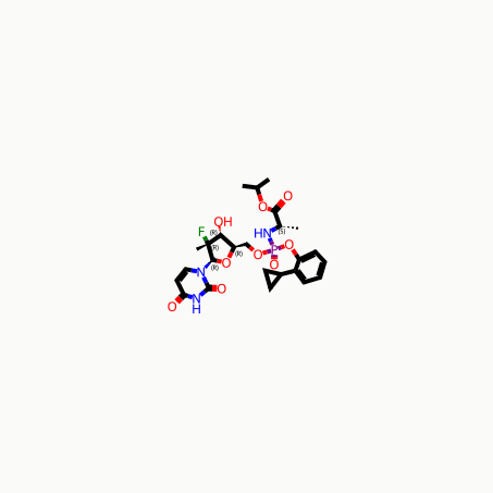 CC(C)OC(=O)[C@H](C)NP(=O)(OC[C@H]1O[C@@H](n2ccc(=O)[nH]c2=O)[C@](C)(F)[C@@H]1O)Oc1ccccc1C1CC1